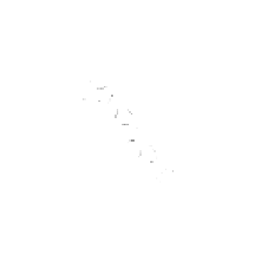 CCCC1COC(c2ccc(C(=O)Oc3ccc(-c4cc(F)c(C5CO5)c(F)c4)cc3)cc2)OC1